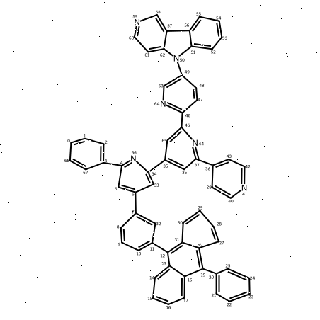 c1ccc(-c2cc(-c3cccc(-c4c5ccccc5c(-c5ccccc5)c5ccccc45)c3)cc(-c3cc(-c4ccncc4)nc(-c4ccc(-n5c6ccccc6c6cnccc65)cn4)c3)n2)cc1